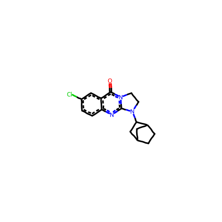 O=c1c2cc(Cl)ccc2nc2n1CCN2C1CC2CCC1C2